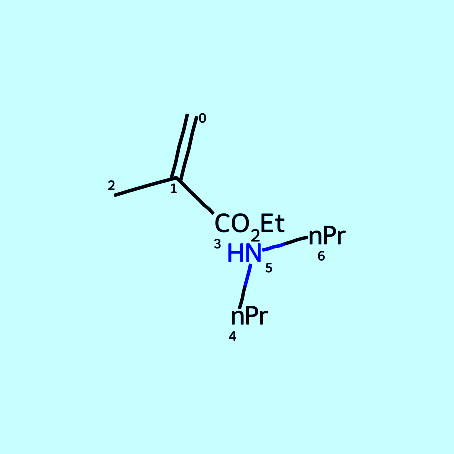 C=C(C)C(=O)OCC.CCCNCCC